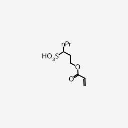 C=CC(=O)OCCC(CCC)S(=O)(=O)O